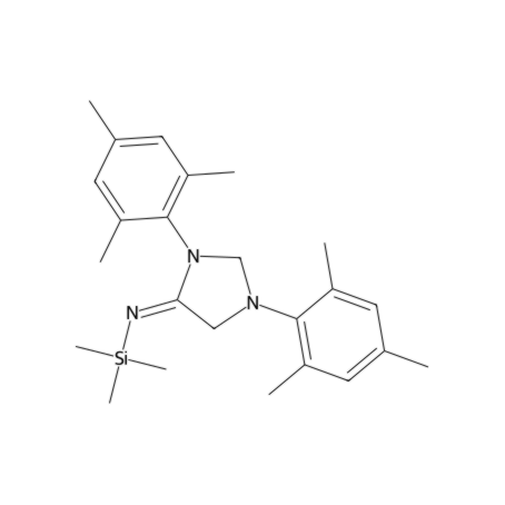 Cc1cc(C)c(N2CC(=N[Si](C)(C)C)N(c3c(C)cc(C)cc3C)C2)c(C)c1